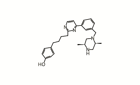 C[C@H]1CN(Cc2cccc(-c3ccnc(CCCCc4ccc(O)cc4)n3)c2)[C@@H](C)CN1